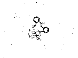 CC1(C)OB(c2ccccc2CNc2ccccc2C=O)OC1(C)C